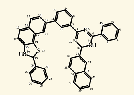 c1ccc(C2=NC(c3cccc(-c4ccc5ccc6c(c5c4)SC(c4ccccc4)N6)c3)=NC(c3ccc4ccccc4c3)N2)cc1